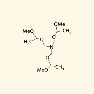 COC(C)OCN(COC(C)OC)COC(C)OC